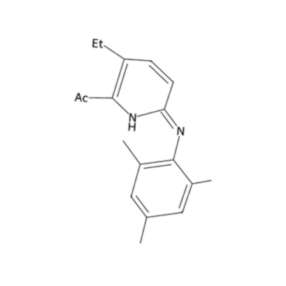 CCc1ccc(=Nc2c(C)cc(C)cc2C)[nH]c1C(C)=O